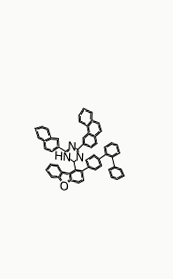 c1ccc(-c2ccccc2-c2ccc(-c3ccc4oc5ccccc5c4c3C3N=C(c4ccc5ccc6ccccc6c5c4)N=C(c4ccc5ccccc5c4)N3)cc2)cc1